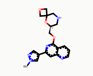 CC(C)(C)n1cc(-c2cc3ncccc3c(OC[C@@H]3CNCC4(COC4)O3)n2)cn1